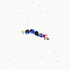 CC(C)(C)OC(=O)CN1CCN(Cc2cccc(Nc3nccc(-c4ccc(Cl)nc4)n3)c2)CC1